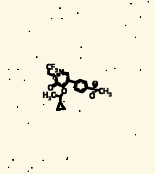 CC(Oc1c(-c2ccc(S(C)(=O)=O)cc2)cnn(CC(F)(F)F)c1=O)C1CC1